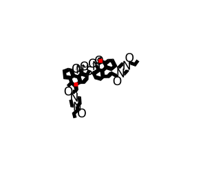 CCC(=O)N1CCN(C(=O)/C=C/c2ccc(Sc3ccc(/C=C/C(=O)N4CCN(C(=O)CC)CC4)c(-c4ccccc4C(C)C)c3[N+](=O)[O-])c([N+](=O)[O-])c2-c2ccccc2C(C)C)CC1